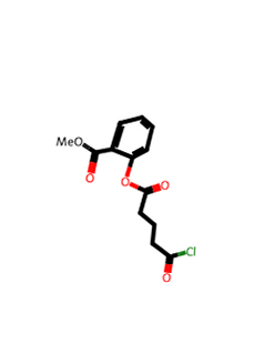 COC(=O)c1ccccc1OC(=O)CCCC(=O)Cl